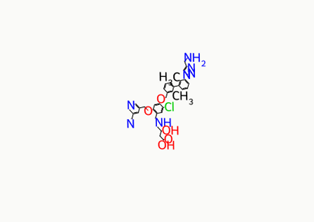 Cc1c(COc2cc(OCc3cncc(C#N)c3)c(CNC[C@@H](O)CC(=O)O)cc2Cl)cccc1-c1cccc(-n2cc(CN)nn2)c1C